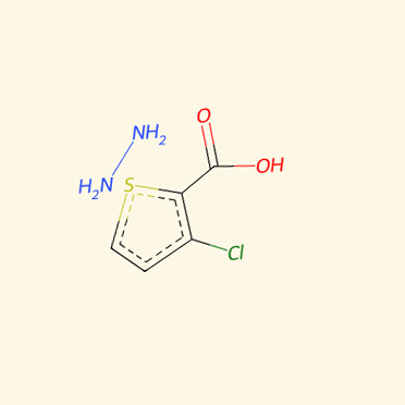 NN.O=C(O)c1sccc1Cl